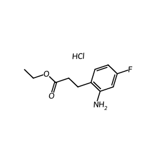 CCOC(=O)CCc1ccc(F)cc1N.Cl